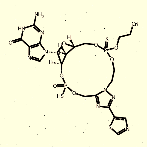 N#CCCOP1(=S)OCCn2nc(-c3cncs3)nc2COP(=O)(S)O[C@@H]2[C@H](F)[C@@H](CO1)O[C@H]2n1cnc2c(=O)[nH]c(N)nc21